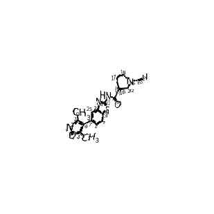 Cc1noc(C)c1-c1ccc2sc(NC(=O)[C@H]3CCN(C#N)C3)nc2c1